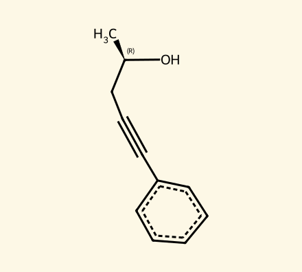 C[C@@H](O)CC#Cc1ccccc1